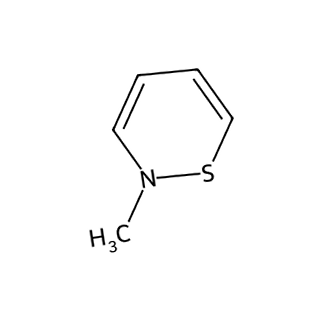 CN1C=CC=CS1